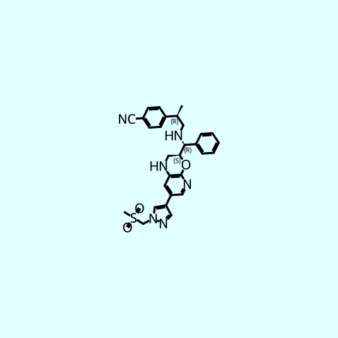 C[C@@H](CN[C@H](c1ccccc1)[C@@H]1CNc2cc(-c3cnn(CS(C)(=O)=O)c3)cnc2O1)c1ccc(C#N)cc1